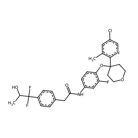 Cc1cc(Cl)cnc1C1(Oc2ccc(NC(=O)Cc3ccc(C(F)(F)C(C)O)cc3)cc2F)CCOCC1